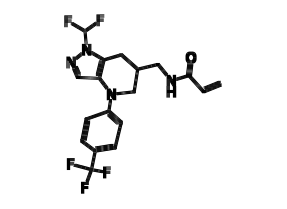 C=CC(=O)NCC1Cc2c(cnn2C(F)F)N(c2ccc(C(F)(F)F)cc2)C1